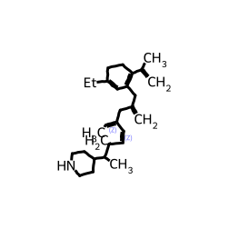 C=C(CC1=C(C(=C)C)CCC(CC)=C1)CC(/C=C\C(=C)C(C)C1CCNCC1)=C/C